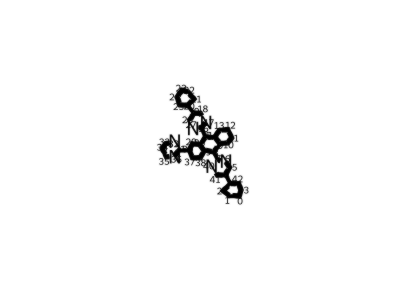 c1ccc(-c2cnc(-c3c4ccccc4c(-c4ncc(-c5ccccc5)cn4)c4cc(-c5ncccn5)ccc34)nc2)cc1